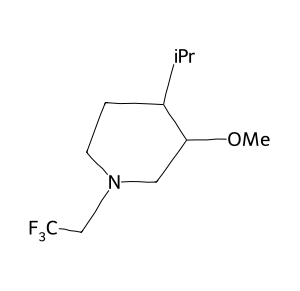 COC1CN(CC(F)(F)F)CCC1C(C)C